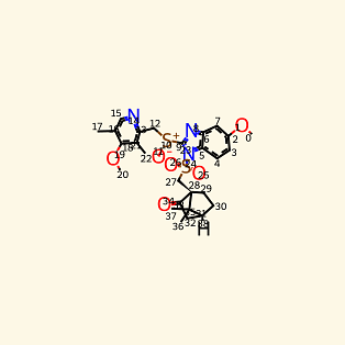 COc1ccc2c(c1)nc([S@@+]([O-])Cc1ncc(C)c(OC)c1C)n2S(=O)(=O)C[C@]12CC[C@H](CC1=O)C2(C)C